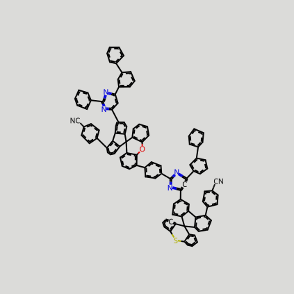 N#Cc1ccc(-c2cccc3c2-c2cc(-c4cc(-c5cccc(-c6ccccc6)c5)nc(-c5ccc(-c6cccc7c6Oc6ccccc6C76c7ccc(-c8cc(-c9cccc(-c%10ccccc%10)c9)nc(-c9ccccc9)n8)cc7-c7c(-c8ccc(C#N)cc8)cccc76)cc5)n4)ccc2C32c3ccccc3Sc3ccccc32)cc1